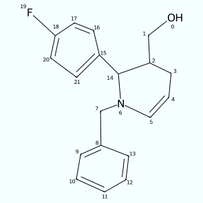 OCC1CC=CN(Cc2ccccc2)C1c1ccc(F)cc1